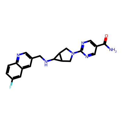 NC(=O)c1cnc(N2CC3C(C2)C3NCc2cnc3ccc(F)cc3c2)nc1